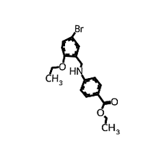 CCOC(=O)c1ccc(NCc2cc(Br)ccc2OCC)cc1